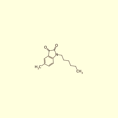 CCCCCCN1C(=O)C(=O)c2cc(C)ccc21